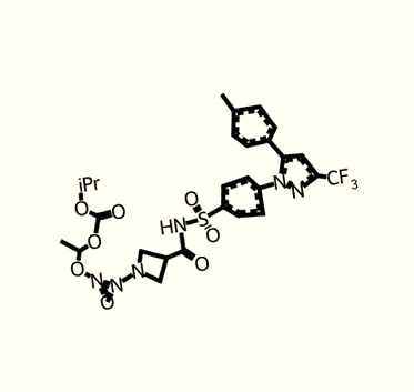 Cc1ccc(-c2cc(C(F)(F)F)nn2-c2ccc(S(=O)(=O)NC(=O)C3CN(n4on4OC(C)OC(=O)OC(C)C)C3)cc2)cc1